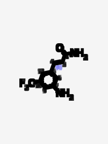 NC(=O)/C=C/c1cc(N)cc(C(F)(F)F)c1